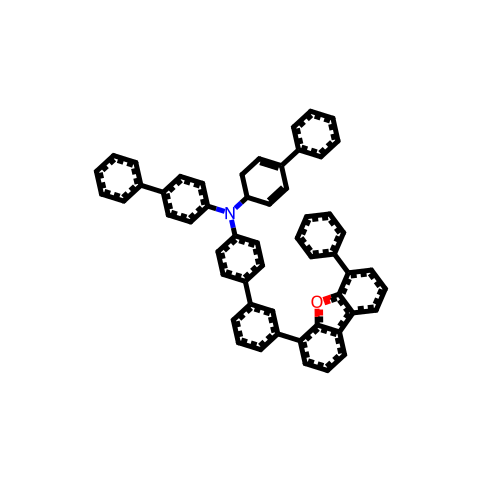 C1=CC(N(c2ccc(-c3ccccc3)cc2)c2ccc(-c3cccc(-c4cccc5c4oc4c(-c6ccccc6)cccc45)c3)cc2)CC=C1c1ccccc1